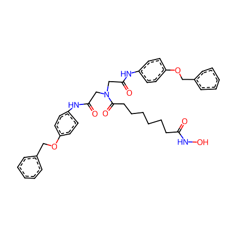 O=C(CCCCCCC(=O)N(CC(=O)Nc1ccc(OCc2ccccc2)cc1)CC(=O)Nc1ccc(OCc2ccccc2)cc1)NO